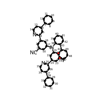 N#Cc1cc(-c2cc(-c3ccccc3)ccn2)cc(N(c2cc(F)cc(-c3cc(-c4ccccc4)ccn3)c2)c2ccccc2-c2ccccc2)c1